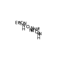 CCN1CCc2nc(-c3ccc(-c4nc(Nc5ccc6[nH]ncc6c5C5CC5)n(C)n4)cc3)[nH]c2C1(C)C